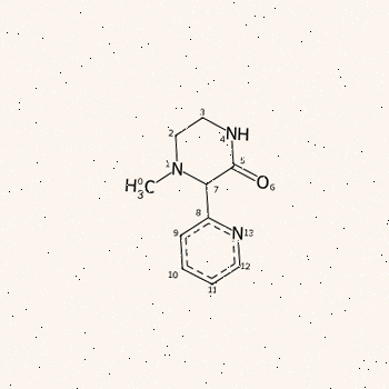 CN1CCNC(=O)C1c1ccccn1